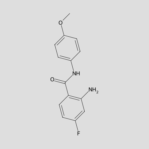 COc1ccc(NC(=O)c2ccc(F)cc2N)cc1